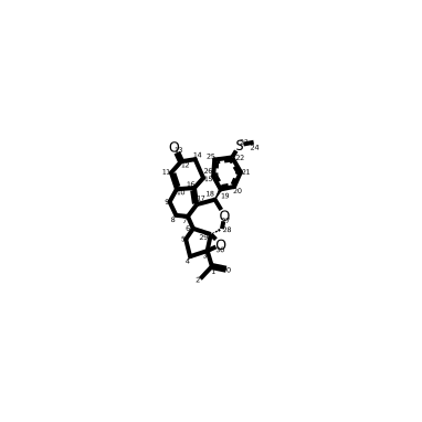 C=C(C)C12CCC3C4CCC5=CC(=O)CCC5=C4[C@@H](c4ccc(SC)cc4)OC[C@@]31O2